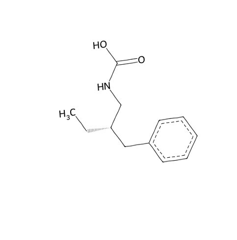 CC[C@H](CNC(=O)O)Cc1ccccc1